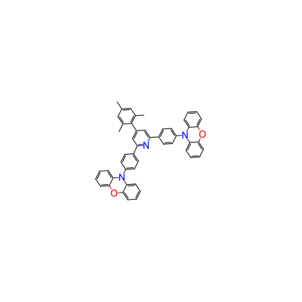 Cc1cc(C)c(-c2cc(-c3ccc(N4c5ccccc5Oc5ccccc54)cc3)nc(-c3ccc(N4c5ccccc5Oc5ccccc54)cc3)c2)c(C)c1